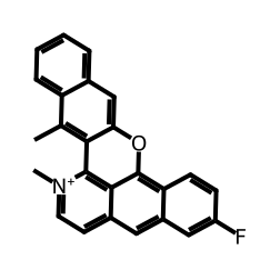 Cc1c2c(cc3ccccc13)Oc1c3ccc(F)cc3cc3cc[n+](C)c-2c13